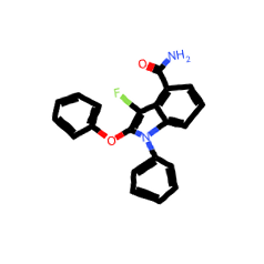 NC(=O)c1cccc2c1c(F)c(Oc1ccccc1)n2-c1ccccc1